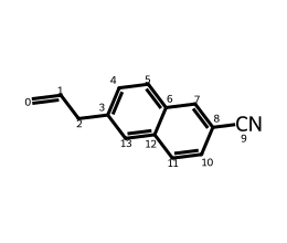 C=CCc1ccc2cc(C#N)ccc2c1